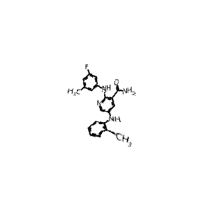 Cc1cc(F)cc(Nc2ncc(Nc3ccccc3C)cc2C(N)=O)c1